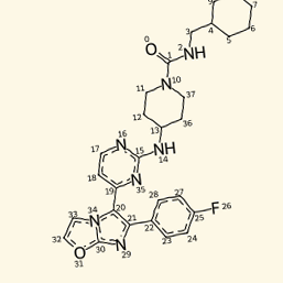 O=C(NCC1CCCCC1)N1CCC(Nc2nccc(-c3c(-c4ccc(F)cc4)nc4occn34)n2)CC1